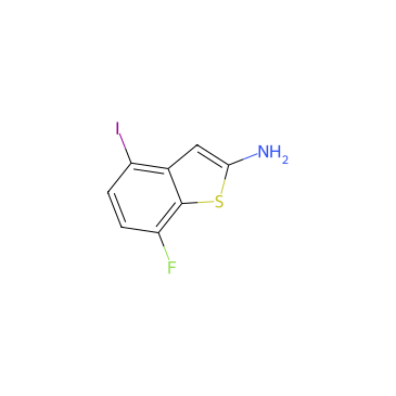 Nc1cc2c(I)ccc(F)c2s1